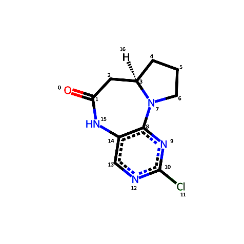 O=C1C[C@H]2CCCN2c2nc(Cl)ncc2N1